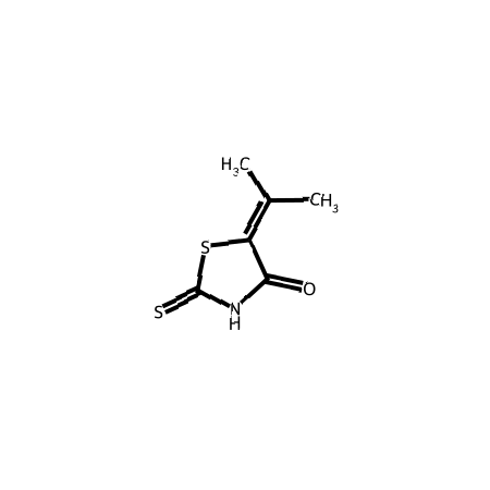 CC(C)=C1SC(=S)NC1=O